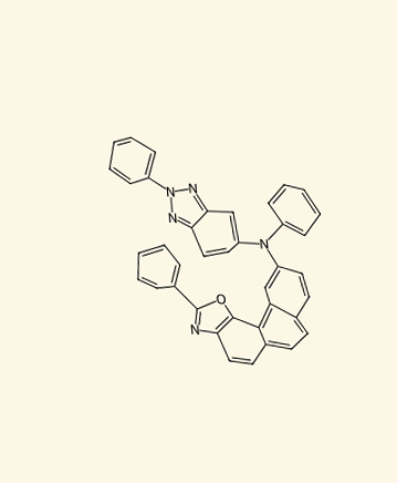 c1ccc(-c2nc3ccc4ccc5ccc(N(c6ccccc6)c6ccc7nn(-c8ccccc8)nc7c6)cc5c4c3o2)cc1